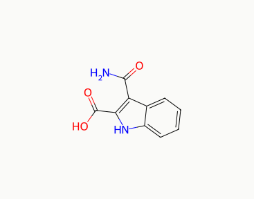 NC(=O)c1c(C(=O)O)[nH]c2ccccc12